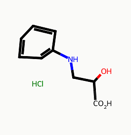 Cl.O=C(O)C(O)CNc1ccccc1